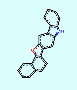 c1ccc2c(c1)ccc1c3cc4[nH]c5ccccc5c4cc3oc21